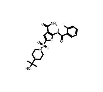 CC(C)(O)C1CCN(S(=O)(=O)c2cc(C(N)=O)c(NC(=O)c3ccccc3F)s2)CC1